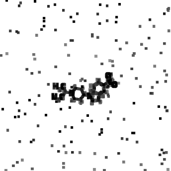 CC(C)N1CCC(n2ccc3cc([N+](=O)[O-])ccc32)CC1